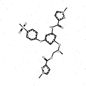 C[C@@H](COC(=O)c1ccn(C)n1)Oc1cc(NC(=O)c2ccn(C)n2)cc(Oc2ccc(S(C)(=O)=O)cc2)c1